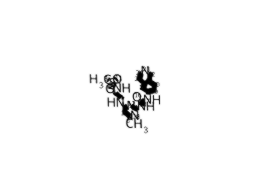 Cc1cc(NCCNS(C)(=O)=O)nc(NC(=O)Nc2ccc3cnccc3c2)n1